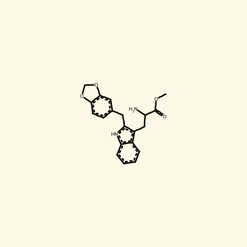 COC(=O)C(N)Cc1c(Cc2ccc3c(c2)OCO3)[nH]c2ccccc12